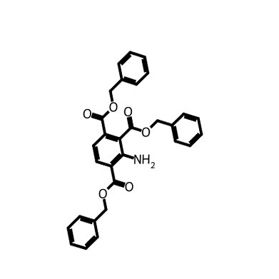 Nc1c(C(=O)OCc2ccccc2)ccc(C(=O)OCc2ccccc2)c1C(=O)OCc1ccccc1